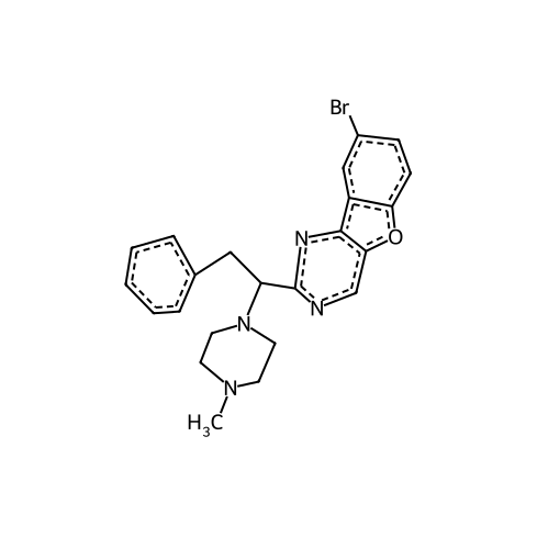 CN1CCN(C(Cc2ccccc2)c2ncc3oc4ccc(Br)cc4c3n2)CC1